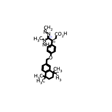 C=N/N=C(/[C@@H](CC(=O)O)c1ccc(OCc2ccc3c(c2)C(C)(C)CCC3(C)C)cc1)N(C)N